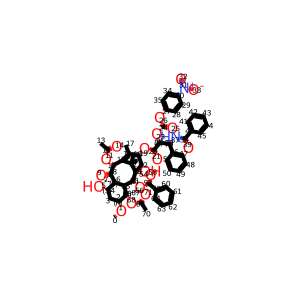 CO[C@@H]1C[C@H](O)[C@@]2(C)C(=O)C(OC(C)=O)C3=C(C)[C@@H](OC(=O)[C@H](OC(=O)Oc4ccc([N+](=O)[O-])cc4)[C@@H](NC(=O)c4ccccc4)c4ccccc4)C[C@@](O)([C@@H](OC(=O)c4ccccc4)C2[C@@]1(C)OC(C)=O)C3(C)C